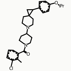 Cc1c(Cl)cccc1C(=O)N1CCC(N2CCC3(CC2)CC3c2ccc(OC(C)C)cc2)CC1